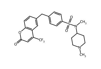 CN1CCC(N(C)S(=O)(=O)c2ccc(Cc3ccc4oc(=O)cc(C(F)(F)F)c4c3)cc2)CC1